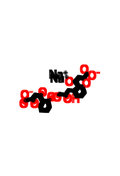 O=C([O-])c1cc(=O)c2c(CC(O)COOc3cccc4oc(C(=O)[O-])cc(=O)c34)cccc2o1.[Na+].[Na+]